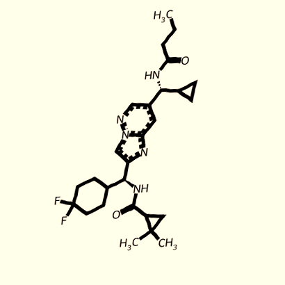 CCCC(=O)N[C@@H](c1cnn2cc([C@@H](NC(=O)C3CC3(C)C)C3CCC(F)(F)CC3)nc2c1)C1CC1